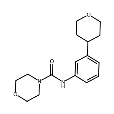 O=C(Nc1cccc(C2CCOCC2)c1)N1CCOCC1